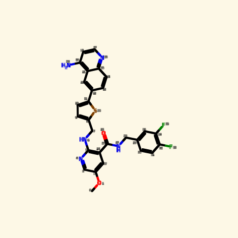 COc1cnc(NCc2ccc(-c3ccc4nccc(N)c4c3)s2)c(C(=O)NCc2ccc(F)c(F)c2)c1